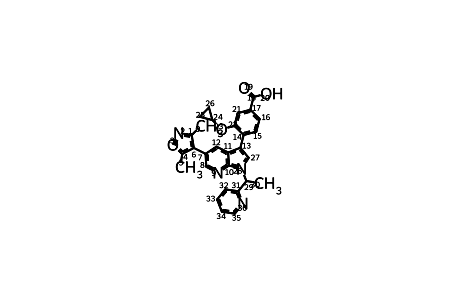 Cc1noc(C)c1-c1cnc2c(c1)c(-c1ccc(C(=O)O)cc1OC1CC1)cn2C(C)c1ccccn1